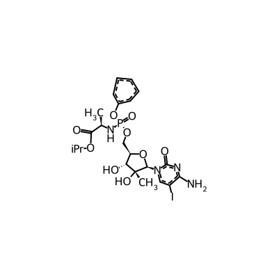 CC(C)OC(=O)[C@@H](C)N[P@@](=O)(OC[C@H]1O[C@@H](n2cc(I)c(N)nc2=O)[C@](C)(O)[C@@H]1O)Oc1ccccc1